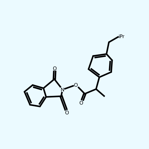 CC(C)Cc1ccc(C(C)C(=O)ON2C(=O)c3ccccc3C2=O)cc1